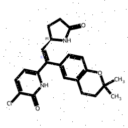 CC1(C)CCc2cc(/C(=C\[C@H]3CCC(=O)N3)c3ccc(Cl)c(=O)[nH]3)ccc2O1